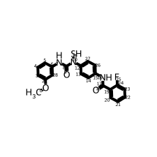 COc1cccc(NC(=O)N(S)c2ccc(NC(=O)c3ccccc3F)cc2)c1